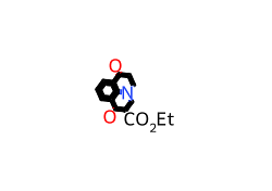 CCOC(=O)C1CN2CCC(=O)c3cccc(c32)C1=O